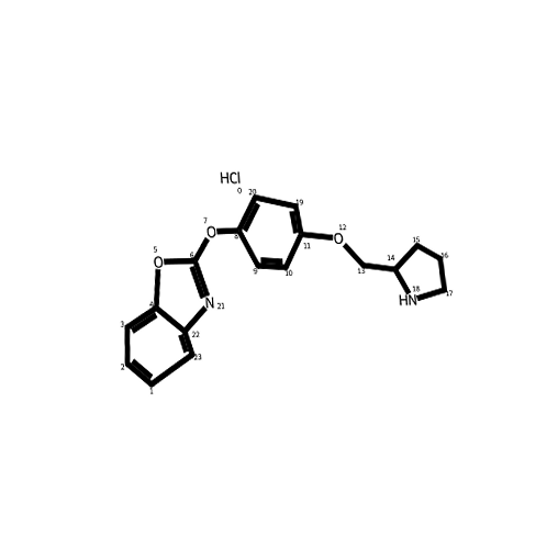 Cl.c1ccc2oc(Oc3ccc(OCC4CCCN4)cc3)nc2c1